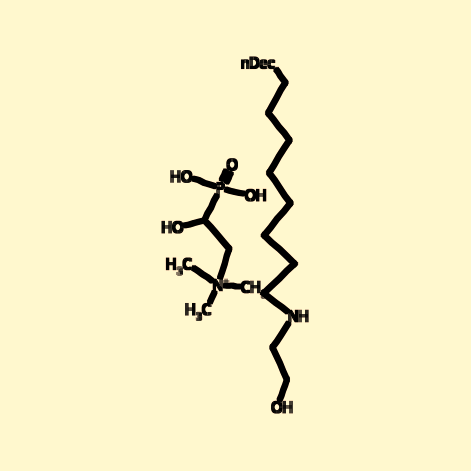 CCCCCCCCCCCCCCCCCCNCCO.C[N+](C)(C)CC(O)P(=O)(O)O